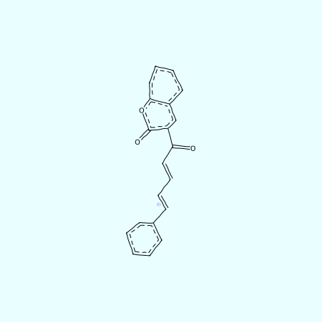 O=C(C=C/C=C/c1ccccc1)c1cc2ccccc2oc1=O